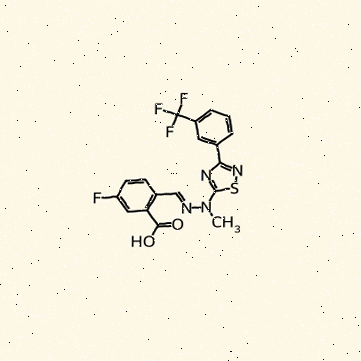 CN(/N=C/c1ccc(F)cc1C(=O)O)c1nc(-c2cccc(C(F)(F)F)c2)ns1